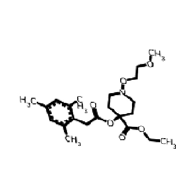 CCOC(=O)C1(OC(=O)Cc2c(C)cc(C)cc2C)CCN(OCCOC)CC1